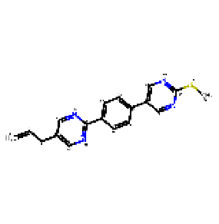 C=CCc1cnc(-c2ccc(-c3cnc(SC)nc3)cc2)nc1